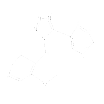 COC1=C(Cn2nnnc2-c2ccccc2)CCC=C1